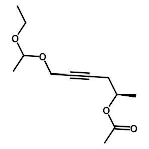 CCOC(C)OCC#CC[C@@H](C)OC(C)=O